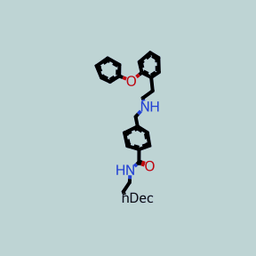 CCCCCCCCCCCCNC(=O)c1ccc(CNCCc2ccccc2Oc2ccccc2)cc1